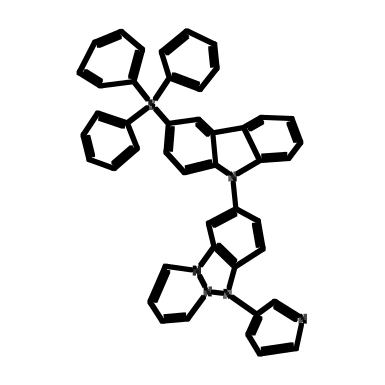 C1=CN2c3cc(-n4c5ccccc5c5cc(S(c6ccccc6)(c6ccccc6)c6ccccc6)ccc54)ccc3N(c3cccnc3)N2C=C1